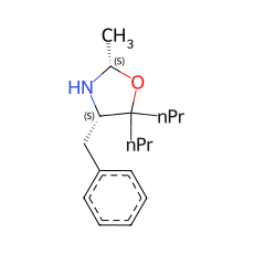 CCCC1(CCC)O[C@@H](C)N[C@H]1Cc1ccccc1